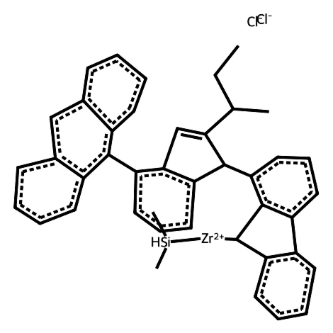 CCC(C)C1=Cc2c(-c3c4ccccc4cc4ccccc34)cccc2C1c1cccc2c1[CH]([Zr+2][SiH](C)C)c1ccccc1-2.[Cl-].[Cl-]